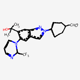 CC(C)(O)c1cc2nn(C3CCC(C=O)CC3)cc2cc1N1C=CC=NC1C(F)(F)F